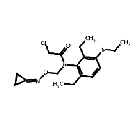 CCSc1ccc(CC)c(N(CON=C2CC2)C(=O)CCl)c1CC